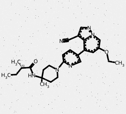 CCOc1cc(-c2ccc(N3CCC(C)(NC(=O)[C@@H](C)CC)CC3)nc2)c2c(C#N)cnn2c1